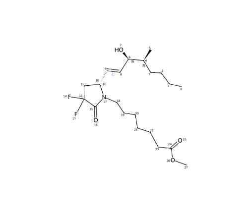 CCCC[C@H](C)[C@H](O)/C=C/[C@H]1CC(F)(F)C(=O)N1CCCCCCC(=O)OC